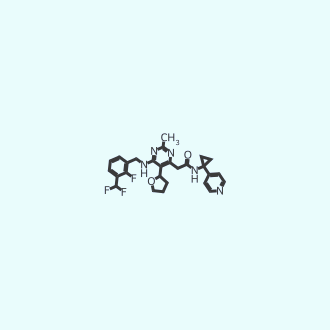 Cc1nc(CC(=O)NC2(c3ccncc3)CC2)c(C2CCCO2)c(NCc2cccc(C(F)F)c2F)n1